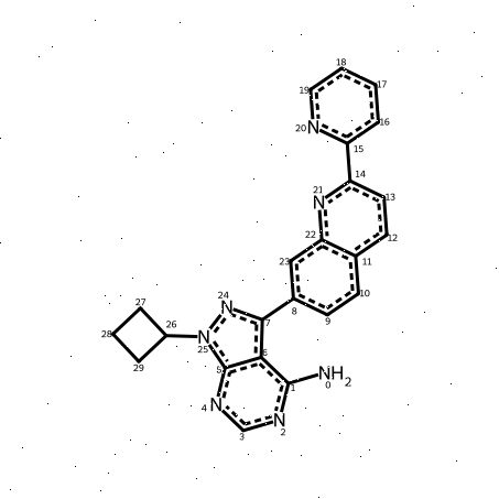 Nc1ncnc2c1c(-c1ccc3ccc(-c4ccccn4)nc3c1)nn2C1CCC1